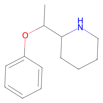 CC(Oc1ccccc1)C1CCCCN1